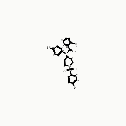 CCc1ccc(S(=O)(=O)N2CCC(N(C(=O)c3ccccc3Cl)c3ccc(Br)cc3)CC2)cc1